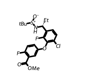 CC[C@@H](N[S+]([O-])C(C)(C)C)c1ccc(Cl)c(Oc2ccc(F)c(C(=O)OC)c2)c1F